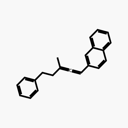 CC(=C=Cc1ccc2ccccc2c1)CCc1ccccc1